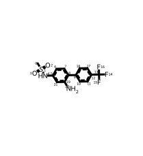 CS(=O)(=O)Nc1ccc(-c2ccc(C(F)(F)F)cc2)c(N)c1